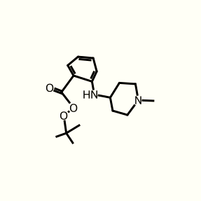 CN1CCC(Nc2ccccc2C(=O)OOC(C)(C)C)CC1